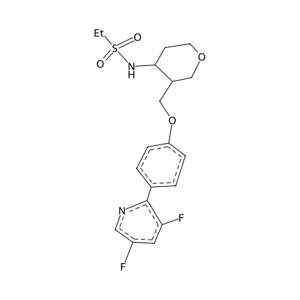 CCS(=O)(=O)NC1CCOCC1COc1ccc(-c2ncc(F)cc2F)cc1